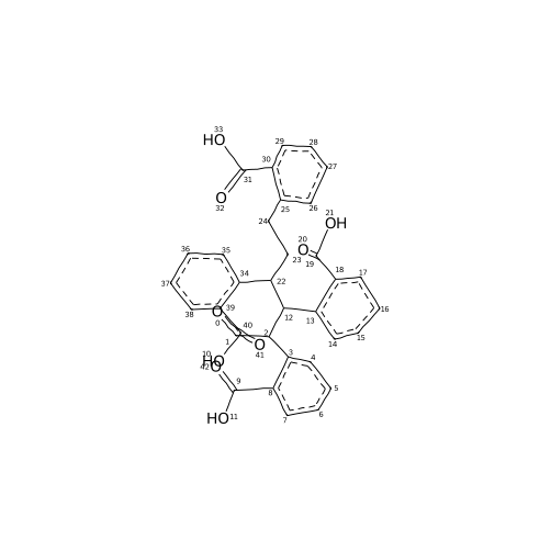 O=CC(c1ccccc1C(=O)O)C(c1ccccc1C(=O)O)C(CCc1ccccc1C(=O)O)c1ccccc1C(=O)O